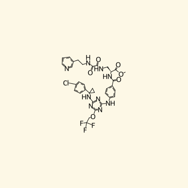 COC(=O)[C@H](CNC(=O)C(=O)NCCc1cccnc1)NC(=O)c1ccc(Nc2nc(NC3(c4ccc(Cl)cc4)CC3)nc(OCC(F)(F)F)n2)cc1